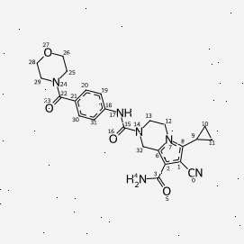 N#Cc1c(C(N)=O)c2n(c1C1CC1)CCN(C(=O)Nc1ccc(C(=O)N3CCOCC3)cc1)C2